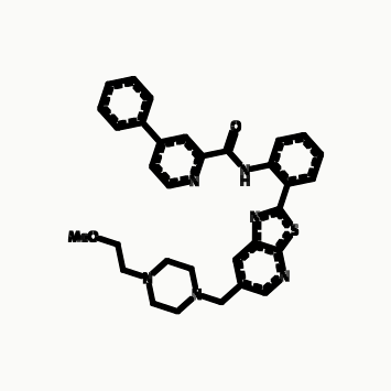 COCCN1CCN(Cc2cnc3sc(-c4ccccc4NC(=O)c4cc(-c5ccccc5)ccn4)nc3c2)CC1